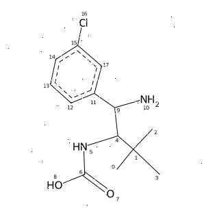 CC(C)(C)C(NC(=O)O)C(N)c1cccc(Cl)c1